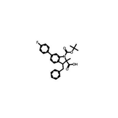 CC(C)(C)OC(=O)N1c2cc(-c3ccc(F)cc3)ccc2C(Cc2ccccc2)C1(C)C(=O)O